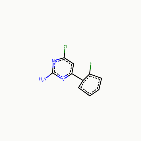 Nc1nc(Cl)cc(-c2ccccc2F)n1